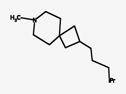 CC(C)CCCC1CC2(CCN(C)CC2)C1